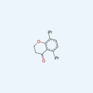 CC(C)c1ccc(C(C)C)c2c1OCCC2=O